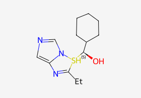 CCC1=Nc2cncn2[SH]1[C@H](O)C1CCCCC1